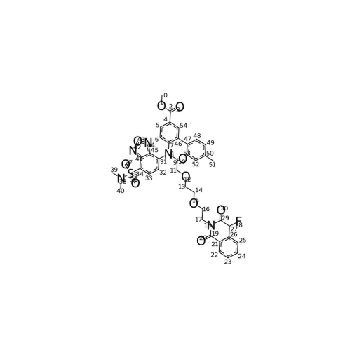 COC(=O)c1ccc(N(C(=O)COCCOCCN2C(=O)c3ccccc3C(F)C2=O)c2ccc(S(=O)(=O)N(C)C)c3nonc23)c(-c2ccc(C)cc2)c1